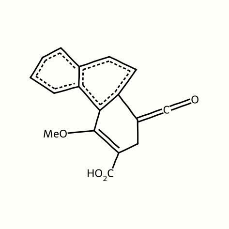 COC1=C(C(=O)O)CC(=C=O)c2ccc3ccccc3c21